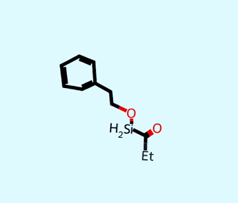 CCC(=O)[SiH2]OCCc1ccccc1